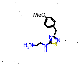 COc1ccc(Cc2nsc(NCCN)n2)cc1